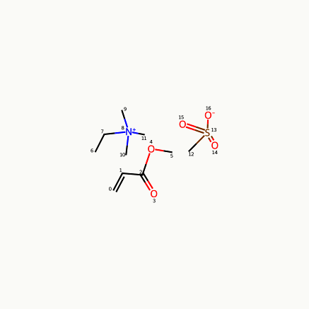 C=CC(=O)OC.CC[N+](C)(C)C.CS(=O)(=O)[O-]